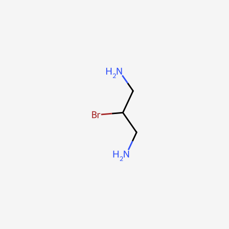 NCC(Br)CN